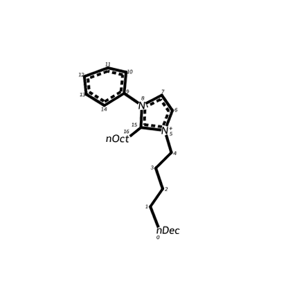 CCCCCCCCCCCCCC[n+]1ccn(-c2ccccc2)c1CCCCCCCC